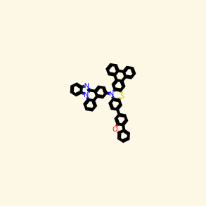 c1ccc2c(c1)nc1c3ccc(N4c5ccc(-c6ccc7c(c6)oc6ccccc67)cc5Sc5cc6c7ccccc7c7ccccc7c6cc54)cc3c3ccccc3n21